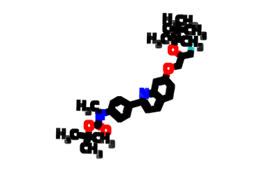 CN(C(=O)OC(C)(C)C)c1ccc(-c2ccc3ccc(OCC(CF)O[Si](C)(C)C(C)(C)C)cc3n2)cc1